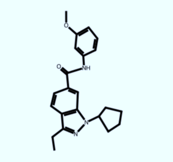 CCc1nn(C2CCCC2)c2cc(C(=O)Nc3cccc(OC)c3)ccc12